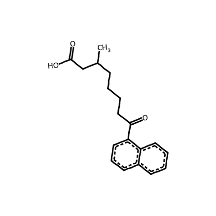 CC(CCCCC(=O)c1cccc2ccccc12)CC(=O)O